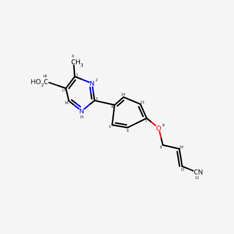 Cc1nc(-c2ccc(OCC=CC#N)cc2)ncc1C(=O)O